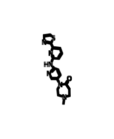 CN1CCC(=O)N(c2ccc(Nc3cccc(-c4nccs4)n3)nc2)CC1